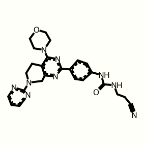 N#CCCNC(=O)Nc1ccc(-c2nc3c(c(N4CCOCC4)n2)CCN(c2ncccn2)C3)cc1